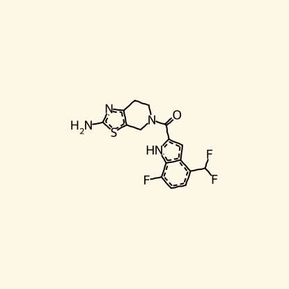 Nc1nc2c(s1)CN(C(=O)c1cc3c(C(F)F)ccc(F)c3[nH]1)CC2